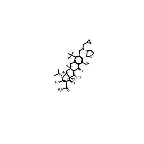 CN(C)[C@@H]1C(O)=C(C(N)=O)C(=O)[C@@]2(O)C(O)=C3C(=O)c4c(O)cc(CN(CC5CC5)[C@@H]5CCOC5)c(C(F)(F)F)c4C[C@H]3C[C@@H]12